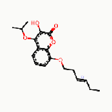 CC/C=C/CCOc1cccc2c(OC(C)C)c(O)c(=O)oc12